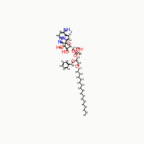 CCCCCCCCCCCCCCCCCCOC[C@H](CO[P@](O)(=S)OC[C@H]1O[C@@](C#N)(c2ccc3c(N)ccnn23)[C@H](O)[C@@H]1O)OCc1ccccc1